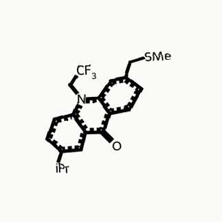 CSCc1ccc2c(=O)c3cc(C(C)C)ccc3n(CC(F)(F)F)c2c1